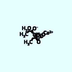 CCC(=O)[O-].CCC(=O)[O-].O.O.O.[Ca+2]